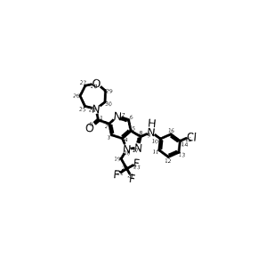 O=C(c1cc2c(cn1)c(Nc1cccc(Cl)c1)nn2CC(F)(F)F)N1CCCOCC1